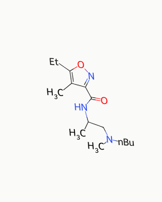 CCCCN(C)CC(C)NC(=O)c1noc(CC)c1C